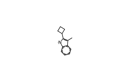 CC1=C(C2CCC2)[N]c2ccccc21